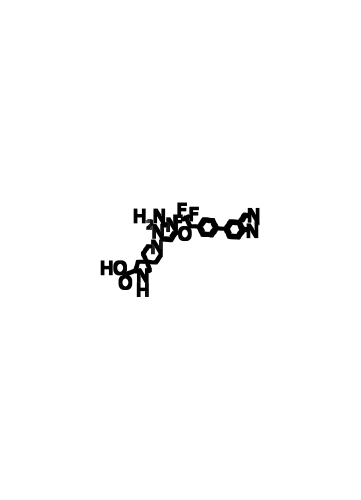 Nc1nc(OC(c2ccc(-c3ccc4ncncc4c3)cc2)C(F)(F)F)cc(N2CCC3(CC2)CNC(C(=O)O)C3)n1